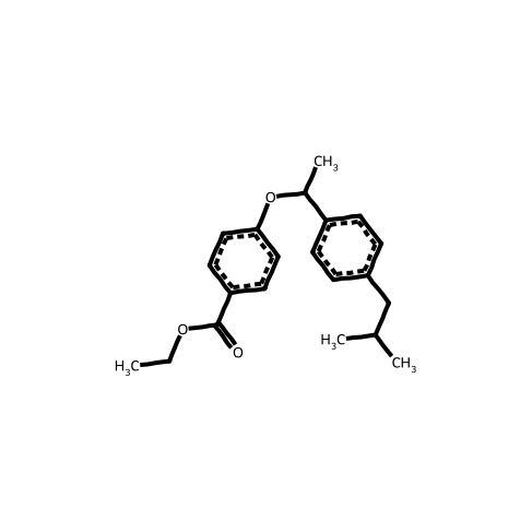 CCOC(=O)c1ccc(OC(C)c2ccc(CC(C)C)cc2)cc1